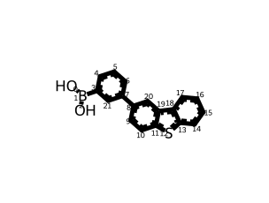 OB(O)c1cccc(-c2ccc3sc4ccccc4c3c2)c1